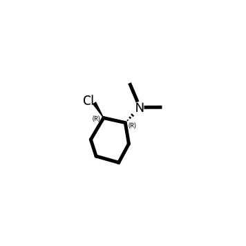 CN(C)[C@@H]1CCCC[C@H]1Cl